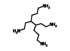 NCCCC(CCN)C(CCN)CCCN